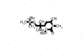 COC(C)(CCC(C#N)N(C)C(=O)OC(C)(C)C)CO[Si](C)(C)C(C)(C)C